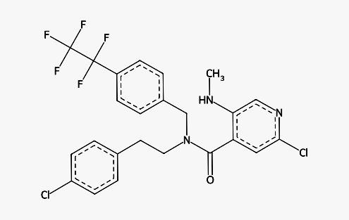 CNc1cnc(Cl)cc1C(=O)N(CCc1ccc(Cl)cc1)Cc1ccc(C(F)(F)C(F)(F)F)cc1